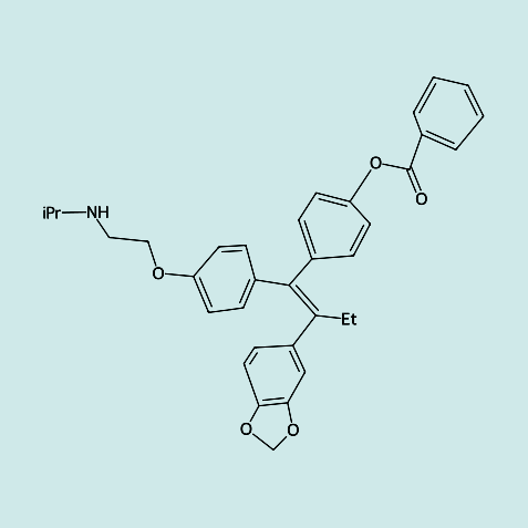 CC/C(=C(/c1ccc(OCCNC(C)C)cc1)c1ccc(OC(=O)c2ccccc2)cc1)c1ccc2c(c1)OCO2